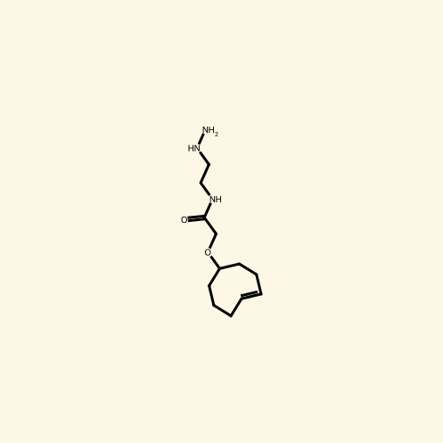 NNCCNC(=O)COC1CC/C=C/CCC1